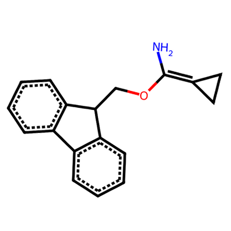 NC(OCC1c2ccccc2-c2ccccc21)=C1CC1